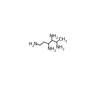 CC(N)C(N)C(N)CCN